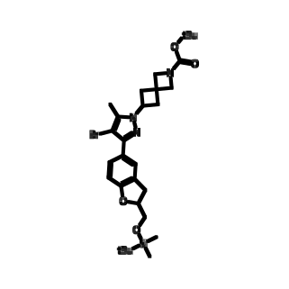 Cc1c(Br)c(-c2ccc3c(c2)CC(CO[Si](C)(C)C(C)(C)C)O3)nn1C1CC2(C1)CN(C(=O)OC(C)(C)C)C2